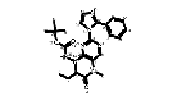 CCC1C(=O)N(C)c2cnc(-n3ccnc3-c3ccccc3)nc2N1NC(=O)OC(C)(C)C